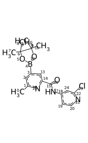 Cc1cc(B2OC(C)(C)C(C)(C)O2)cc(C(=O)Nc2ccnc(Cl)c2)n1